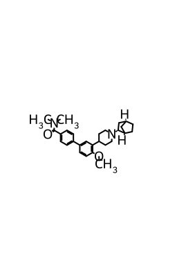 COc1ccc(-c2ccc(C(=O)N(C)C)cc2)cc1C1CCN([C@H]2C[C@H]3CC[C@H]2C3)CC1